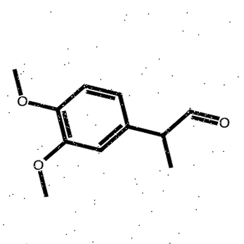 COc1ccc(C(C)[C]=O)cc1OC